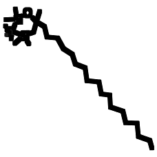 CCCCCCCCCCCCCCCCCCC1(C)C[Si](C)(C)[Si](C)(C)[Si](C)(C)O1